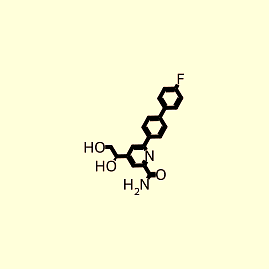 NC(=O)c1cc([C@@H](O)CO)cc(-c2ccc(-c3ccc(F)cc3)cc2)n1